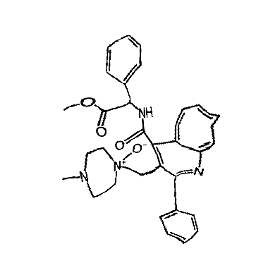 COC(=O)C(NC(=O)c1c(C[N+]2([O-])CCN(C)CC2)c(-c2ccccc2)nc2ccccc12)c1ccccc1